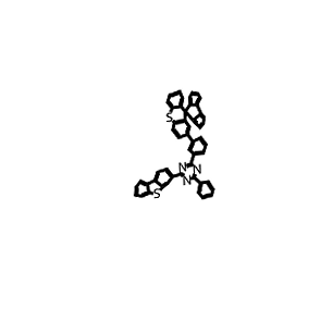 c1ccc(-c2nc(-c3cccc(-c4ccc5c(c4)C4(c6ccccc6S5)c5ccccc5-c5ccccc54)c3)nc(-c3ccc4c(c3)sc3ccccc34)n2)cc1